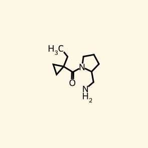 CCC1(C(=O)N2CCCC2CN)CC1